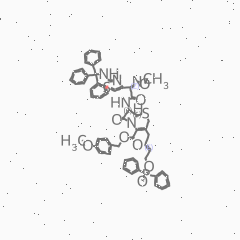 CO/N=C(\C(=O)N[C@@H]1C(=O)N2C(C(=O)OCc3ccc(OC)cc3)=C(C/C=C/COP(=O)(c3ccccc3)c3ccccc3)CS[C@@H]12)c1csc(NC(c2ccccc2)(c2ccccc2)c2ccccc2)n1